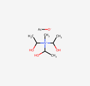 CC(=O)[O-].CC(O)[N+](C)(C(C)O)C(C)O